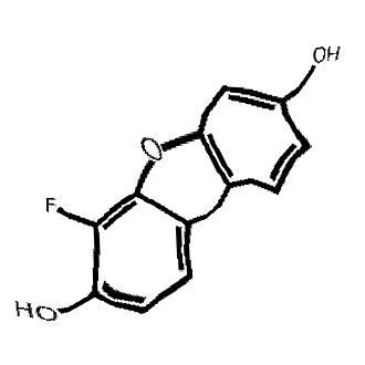 Oc1ccc2c(c1)oc1c(F)c(O)ccc12